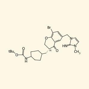 Cn1ccn(Cc2cc(Br)c3c(c2)C(=O)[C@H](CC2CCC(NC(=O)OC(C)(C)C)CC2)CO3)c1=N